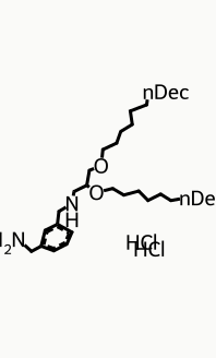 CCCCCCCCCCCCCCCCOCC(CNCc1cccc(CN)c1)OCCCCCCCCCCCCCCCC.Cl.Cl